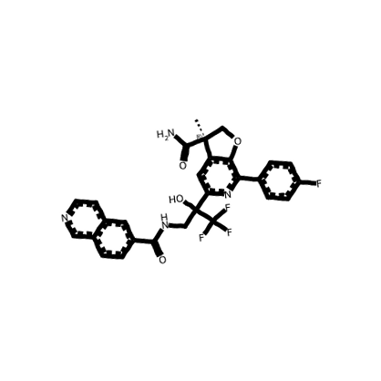 C[C@]1(C(N)=O)COc2c1cc(C(O)(CNC(=O)c1ccc3cnccc3c1)C(F)(F)F)nc2-c1ccc(F)cc1